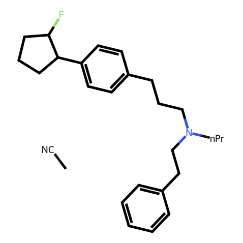 CC#N.CCCN(CCCc1ccc(C2CCCC2F)cc1)CCc1ccccc1